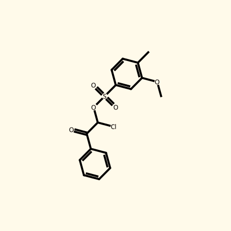 COc1cc(S(=O)(=O)OC(Cl)C(=O)c2ccccc2)ccc1C